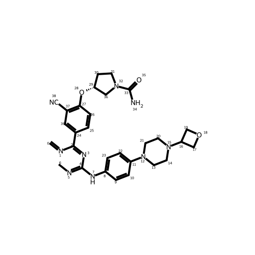 C=N/C(=N\C(=N/C)Nc1ccc(N2CCN(C3COC3)CC2)cc1)c1ccc(O[C@@H]2CCN(C(N)=O)C2)c(C#N)c1